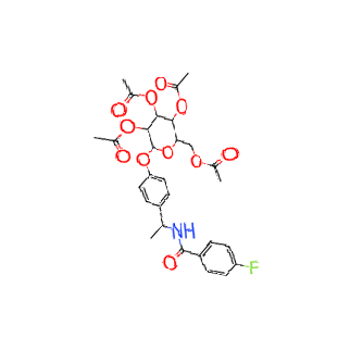 CC(=O)OCC1OC(Oc2ccc(C(C)NC(=O)c3ccc(F)cc3)cc2)C(OC(C)=O)C(OC(C)=O)C1OC(C)=O